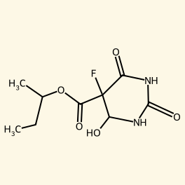 CCC(C)OC(=O)C1(F)C(=O)NC(=O)NC1O